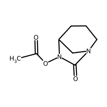 CC(=O)ON1C(=O)N2CCCC1C2